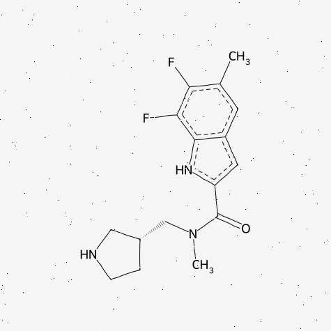 Cc1cc2cc(C(=O)N(C)C[C@@H]3CCNC3)[nH]c2c(F)c1F